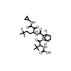 CC(F)(F)CCC(NC(=O)C1[C@H]2CC[C@H](C2)N1C(=O)C(NC(=O)O)C(C)(C)C)C(=O)C(=O)NC1CC1